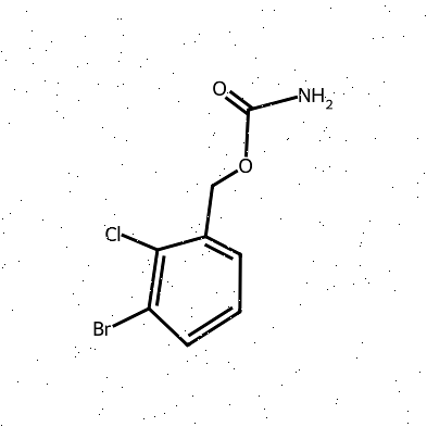 NC(=O)OCc1cccc(Br)c1Cl